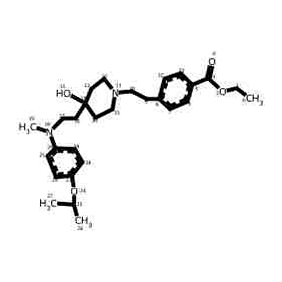 CCOC(=O)c1ccc(CCN2CCC(O)(CCN(C)c3ccc(OC(C)C)cc3)CC2)cc1